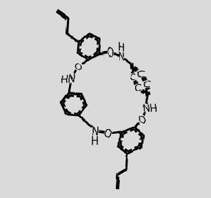 C=CCc1ccc2c(c1)ONc1ccc(cc1)NOc1cc(CC=C)ccc1ONc1ccc(cc1)NO2